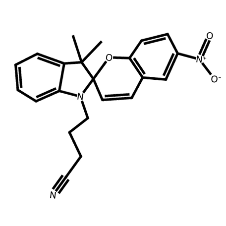 CC1(C)c2ccccc2N(CCCC#N)C12C=Cc1cc([N+](=O)[O-])ccc1O2